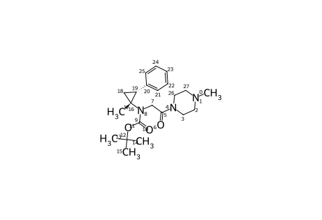 CN1CCN(C(=O)CN(C(=O)OC(C)(C)C)[C@]2(C)C[C@@H]2c2ccccc2)CC1